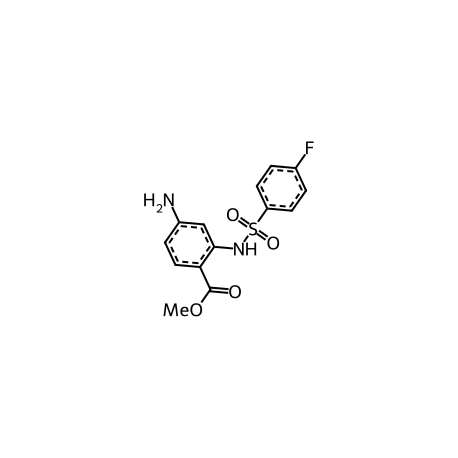 COC(=O)c1ccc(N)cc1NS(=O)(=O)c1ccc(F)cc1